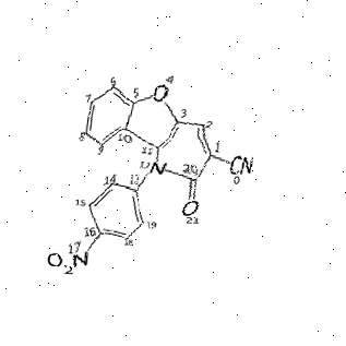 N#Cc1cc2oc3ccccc3c2n(-c2ccc([N+](=O)[O-])cc2)c1=O